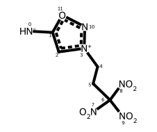 [NH-]c1c[n+](CCC([N+](=O)[O-])([N+](=O)[O-])[N+](=O)[O-])no1